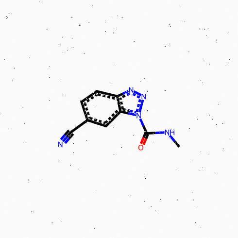 CNC(=O)n1nnc2ccc(C#N)cc21